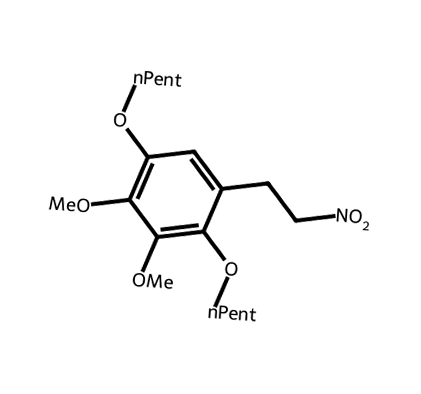 CCCCCOc1cc(CC[N+](=O)[O-])c(OCCCCC)c(OC)c1OC